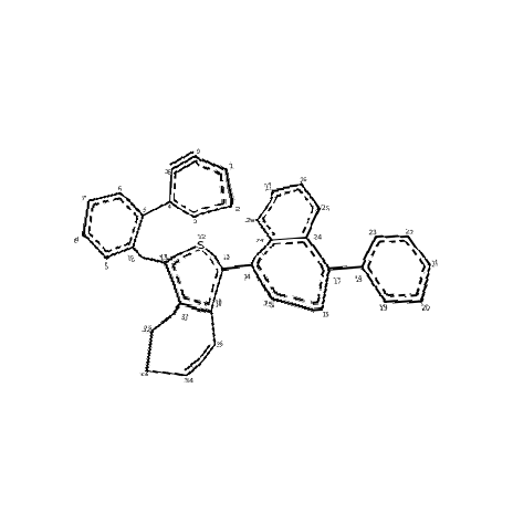 c1cccc(-c2ccccc2-c2sc(-c3ccc(-c4ccccc4)c4ccccc34)c3c2CCC=C3)c#1